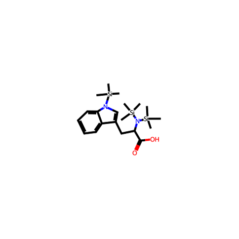 C[Si](C)(C)N(C(Cc1cn([Si](C)(C)C)c2ccccc12)C(=O)O)[Si](C)(C)C